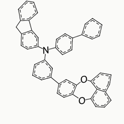 c1ccc(-c2ccc(N(c3cccc(-c4ccc5c(c4)Oc4cccc6cccc(c46)O5)c3)c3ccc4c(c3)-c3ccccc3C4)cc2)cc1